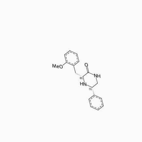 COc1ccccc1C[C@H]1N[C@@H](c2ccccc2)CNC1=O